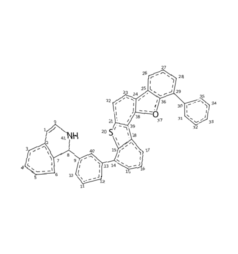 C1=Cc2ccccc2C(c2cccc(-c3cccc4c3sc3ccc5c6cccc(-c7ccccc7)c6oc5c34)c2)N1